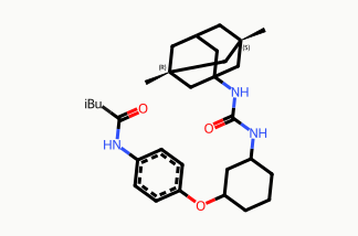 CCC(C)C(=O)Nc1ccc(OC2CCCC(NC(=O)NC34CC5C[C@@](C)(C3)C[C@](C)(C5)C4)C2)cc1